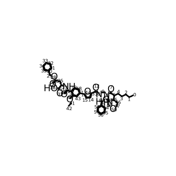 CCCCCC(C(=O)NCNC(=O)c1ccc(-c2ccc(C(=O)NC(CC(=O)OCc3ccccc3)C(=O)O)c(OCC)c2)o1)C(CC)N(C=O)OCc1ccccc1